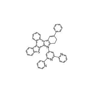 C1=C(c2ccccc2)CCc2c1c1c3ccccc3c3c4ccccc4sc3c1n2-c1cc(-c2ccccn2)nc(-c2ccccn2)c1